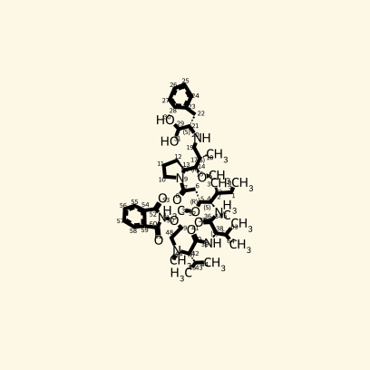 CC[C@H](C)[C@@H]([C@@H](CC(=O)N1CCC[C@H]1[C@H](OC)[C@@H](C)CN[C@@H](Cc1ccccc1)C(O)O)OC)N(C)C(=O)[C@@H](NC(=O)[C@H](C(C)C)N(C)CCON1C(=O)c2ccccc2C1=O)C(C)C